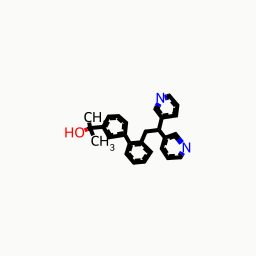 CC(C)(O)c1cccc(-c2ccccc2CC(c2cccnc2)c2cccnc2)c1